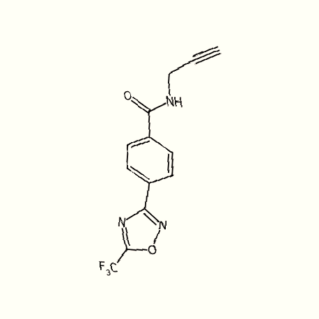 C#CCNC(=O)c1ccc(-c2noc(C(F)(F)F)n2)cc1